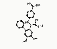 COc1cc(-c2ccccc2)c(C(Nc2ccc(C(=N)N)cc2)C(=O)O)cc1OC.Cl